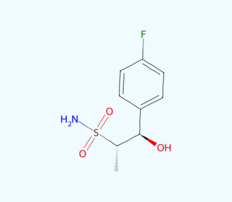 C[C@@H]([C@H](O)c1ccc(F)cc1)S(N)(=O)=O